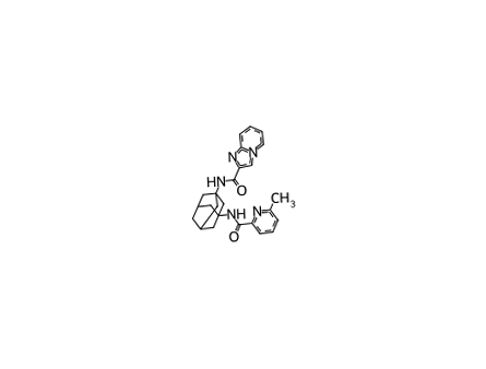 Cc1cccc(C(=O)NC23CC4CC(C2)CC(NC(=O)c2cn5ccccc5n2)(C4)C3)n1